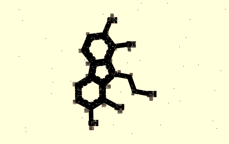 OCCn1c2c(O)c(O)ccc2c2ccc(O)c(O)c21